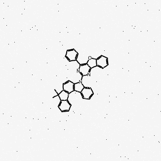 CC1(C)c2ccccc2-c2c1ccc1c2c2ccccc2n1-c1nc(-c2ccccc2)c2oc3ccccc3c2n1